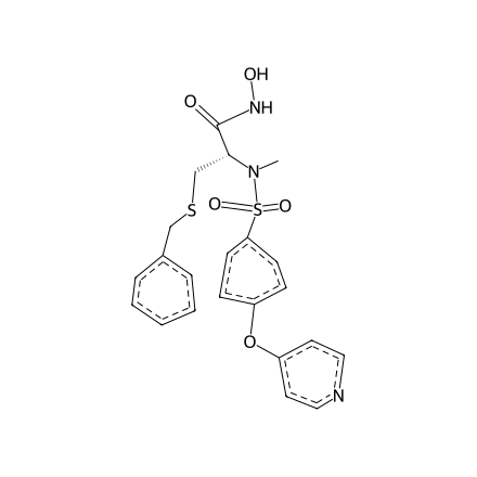 CN([C@H](CSCc1ccccc1)C(=O)NO)S(=O)(=O)c1ccc(Oc2ccncc2)cc1